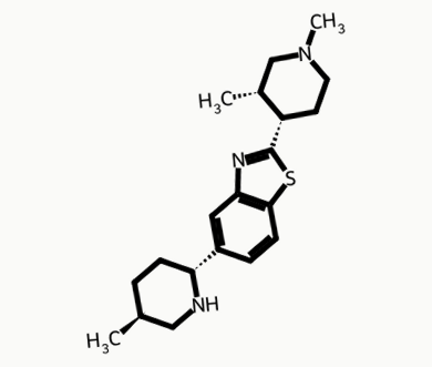 C[C@H]1CC[C@H](c2ccc3sc([C@H]4CCN(C)C[C@H]4C)nc3c2)NC1